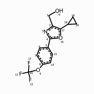 OCc1nc(-c2ccc(OC(F)(F)F)cc2)oc1C1CC1